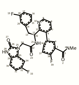 CNC(=O)c1cc(-c2cccnc2[C@H](Cc2cccc(F)c2)NC(=O)Cn2c(=O)[nH]c3ccc(F)cc32)ccc1F